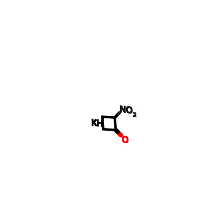 O=C1CCC1[N+](=O)[O-].[KH]